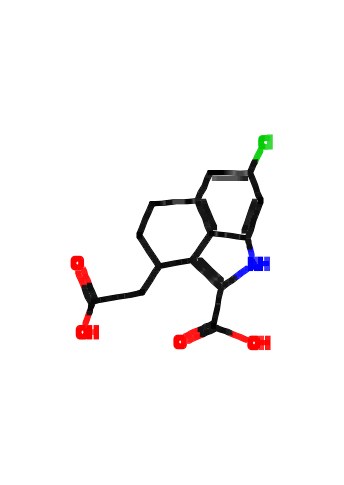 O=C(O)CC1CCc2cc(Cl)cc3[nH]c(C(=O)O)c1c23